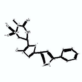 CN1C(=N)NC(c2sc(-c3cc(-c4ccccc4)on3)cc2Cl)CS1(=O)=O